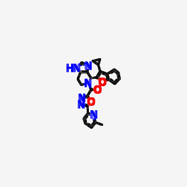 Cc1cccc(-c2nnc(C(=O)N3CCc4[nH]cnc4[C@H]3c3oc4ccccc4c3C3CC3)o2)n1